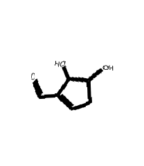 O=CC1=CCC(O)C1O